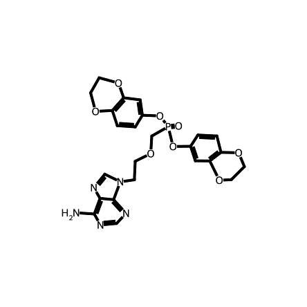 Nc1ncnc2c1ncn2CCOCP(=O)(Oc1ccc2c(c1)OCCO2)Oc1ccc2c(c1)OCCO2